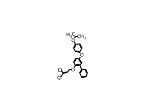 CC(C)Oc1ccc(Oc2ccc(OCC=C(Cl)Cl)c(-c3ccccc3)c2)cc1